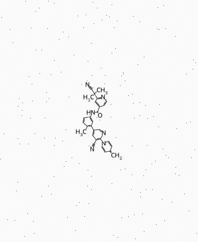 C=C1C=CN(c2ncc(-c3cc(NC(=O)c4ccnc(C(C)(C)C#N)c4)ccc3C)cc2C#N)C=C1